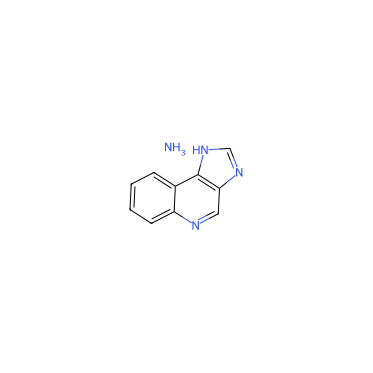 N.c1ccc2c(c1)ncc1nc[nH]c12